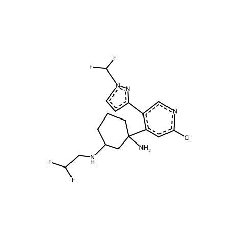 NC1(c2cc(Cl)ncc2-c2ccn(C(F)F)n2)CCCC(NCC(F)F)C1